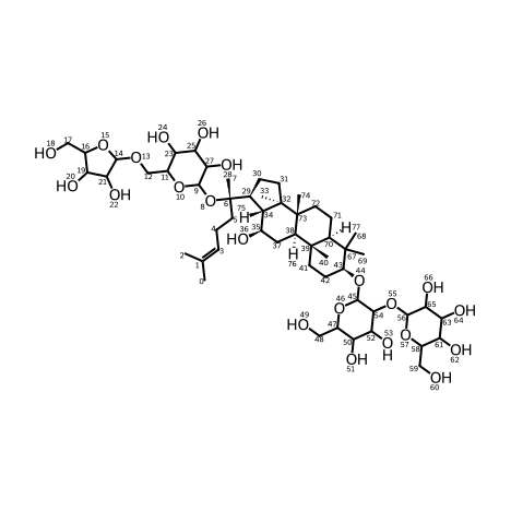 CC(C)=CCC[C@](C)(OC1OC(COC2OC(CO)C(O)C2O)C(O)C(O)C1O)[C@H]1CC[C@]2(C)[C@@H]1[C@H](O)C[C@@H]1[C@@]3(C)CC[C@H](OC4OC(CO)C(O)C(O)C4OC4OC(CO)C(O)C(O)C4O)C(C)(C)[C@@H]3CC[C@]12C